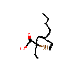 CCCCC(CC)CC(S)(CC)C(=O)O